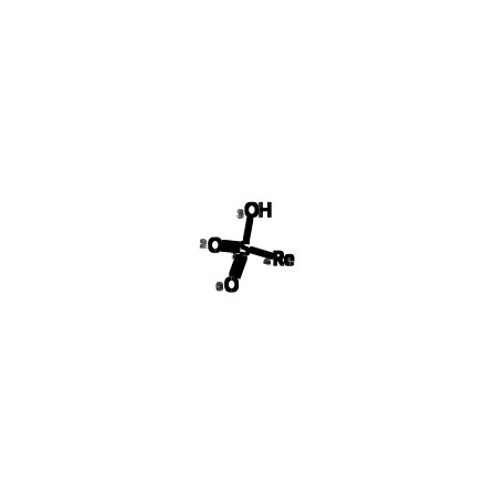 O=[S](=O)(O)[Re]